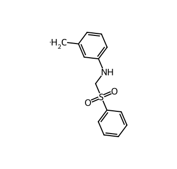 [CH2]c1cccc(NCS(=O)(=O)c2ccccc2)c1